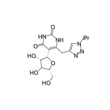 CC(C)n1cc(Cc2[nH]c(=O)[nH]c(=O)c2[C@@H]2O[C@H](CO)C(O)[C@@H]2O)nn1